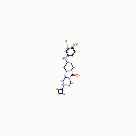 O=C([C@H]1CC[C@H](Nc2ccc(C(F)(F)F)c(F)c2)CC1)N1CCN(C2CCC2)CC1